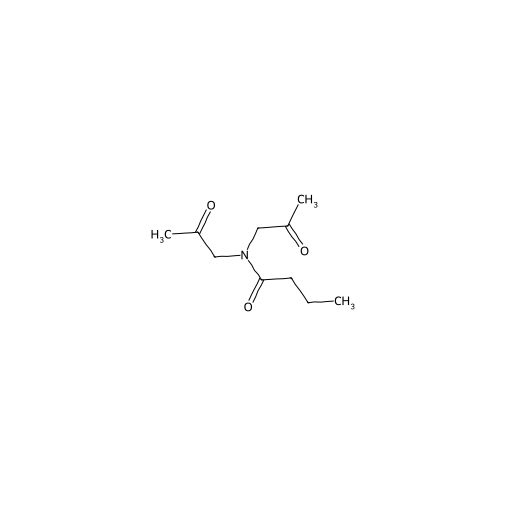 CCCC(=O)N(CC(C)=O)CC(C)=O